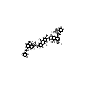 Cc1cc2c(N=Nc3ccccc3S(=O)(=O)O)ccc(N)c2c(O)c1N=Nc1ccc2c(c1)C(=O)c1ccc(N=Nc3ccc4c(N=Nc5ccccc5)ccc(N)c4c3O)cc1C2=O